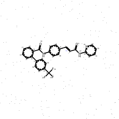 O=C(/C=C/c1ccc(NC(=O)c2ccccc2-c2ccc(C(F)(F)F)cc2)cc1)Nc1ccccn1